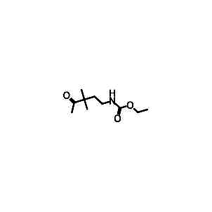 CCOC(=O)NCCC(C)(C)C(C)=O